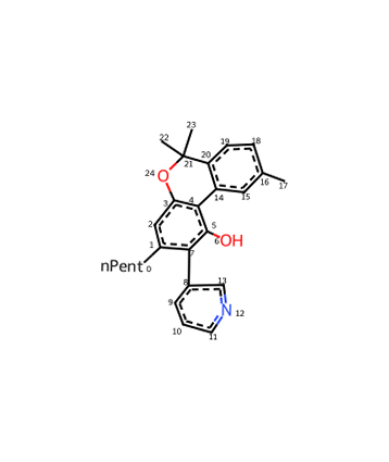 CCCCCc1cc2c(c(O)c1-c1cccnc1)-c1cc(C)ccc1C(C)(C)O2